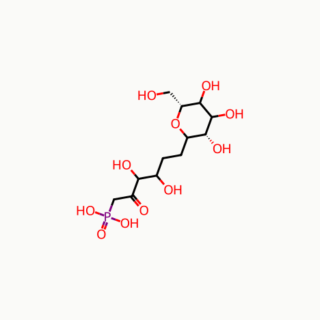 O=C(CP(=O)(O)O)C(O)C(O)CCC1O[C@H](CO)C(O)C(O)[C@@H]1O